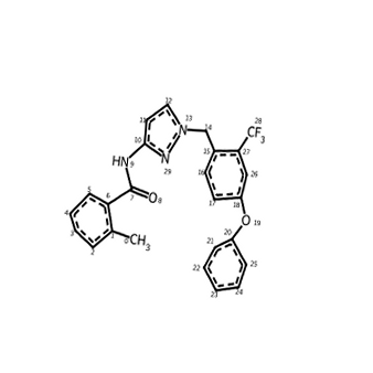 Cc1ccccc1C(=O)Nc1ccn(Cc2ccc(Oc3ccccc3)cc2C(F)(F)F)n1